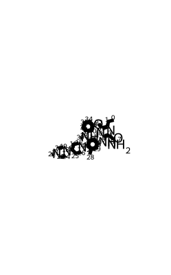 CCc1nc(C(N)=O)c(Nc2ccc(N3CCC(N4CCN(C)CC4)CC3)c(C)c2)nc1Oc1cccc(NC)c1